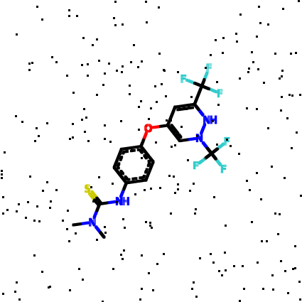 CN(C)C(=S)Nc1ccc(OC2=CN(C(F)(F)F)NC(C(F)(F)F)=C2)cc1